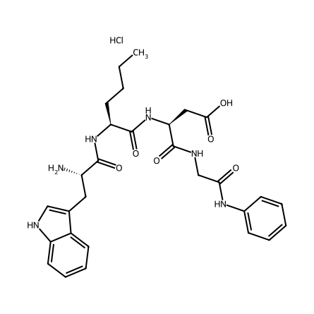 CCCC[C@H](NC(=O)[C@@H](N)Cc1c[nH]c2ccccc12)C(=O)N[C@@H](CC(=O)O)C(=O)NCC(=O)Nc1ccccc1.Cl